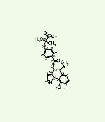 CCCc1cccc(C)c1-n1nccc1COC(=O)c1ccc(OC(C)(C)C(=O)O)cc1